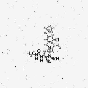 CNC(=O)Nc1cc2c(cc(C)n2Cc2cc(Cl)cc(CN3CCCC3)c2)n2c(C)nnc12